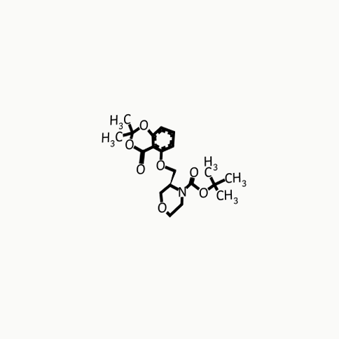 CC(C)(C)OC(=O)N1CCOC[C@H]1COc1cccc2c1C(=O)OC(C)(C)O2